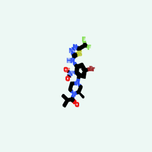 CC(C)C(=O)N1CCN(c2cc(Br)cc(Nc3nnc(C(F)F)s3)c2[N+](=O)[O-])C[C@H]1C